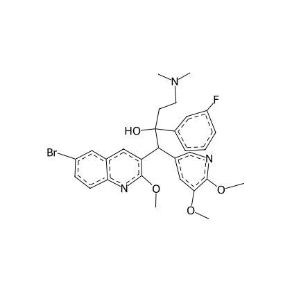 COc1cc(C(c2cc3cc(Br)ccc3nc2OC)C(O)(CCN(C)C)c2cccc(F)c2)cnc1OC